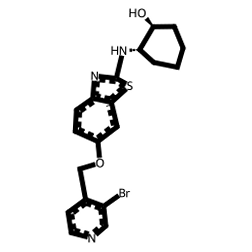 O[C@H]1CCCC[C@@H]1Nc1nc2ccc(OCc3ccncc3Br)cc2s1